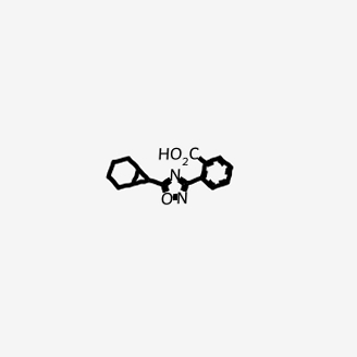 O=C(O)c1ccccc1-c1noc(C2C3CCCCC32)n1